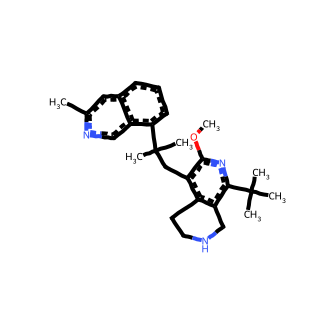 COc1nc(C(C)(C)C)c2c(c1CC(C)(C)c1cccc3cc(C)ncc13)CCNC2